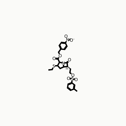 CCSC1CC2[C@H](CCOS(=O)(=O)c3cccc(C)c3)C(=O)N2C1C(=O)OCc1ccc([N+](=O)[O-])cc1